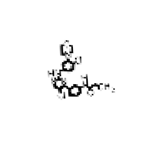 C=CC(=O)Nc1cccc(-c2nc(Nc3ccc(Cl)c(N4CCOCC4)c3)ncc2Cl)c1